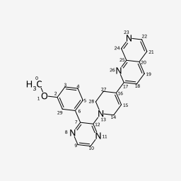 COc1cccc(-c2nccnc2N2CC=C(c3ccc4ccncc4n3)CC2)c1